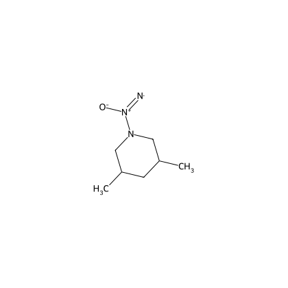 CC1CC(C)CN([N+](=[N])[O-])C1